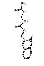 N=C(N)NCNC(=S)OCc1cc2ccccc2oc1=O